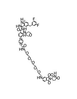 N=C(NC(=O)c1ccc(N2CCN(CC(=O)NCCOCCOCCOCCOCCOCCNc3ccc4c(c3)C(=O)N(C3CCC(=O)NC3=O)C4=O)CC2)cc1NC1CCOCC1)c1cc(Cc2cc(F)cc(F)c2)ccc1N